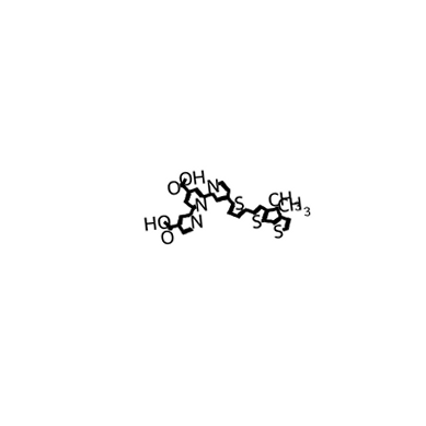 CC1(C)c2ccsc2-c2sc(-c3ccc(-c4ccnc(-c5cc(C(=O)O)cc(-c6cc(C(=O)O)ccn6)n5)c4)s3)cc21